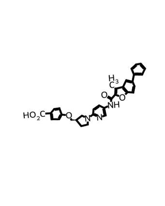 Cc1c(C(=O)Nc2ccc(N3CC[C@@H](COc4ccc(C(=O)O)cc4)C3)nc2)oc2ccc(-c3ccccc3)cc12